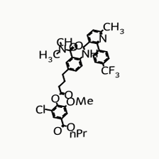 CCCOC(=O)c1cc(Cl)c(OC(=O)CCCc2ccc(NC(=O)c3ccc(C)nc3-c3ccc(C(F)(F)F)cc3)c(C(=O)N(C)C)c2)c(OC)c1